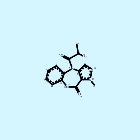 CC(Cl)C(=O)N1c2ccccc2NC(=O)c2c1cnn2C